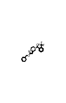 O=C(c1ccccc1C(F)(F)F)N1CCn2nc(OCC3=CC=CCC3)cc2C1